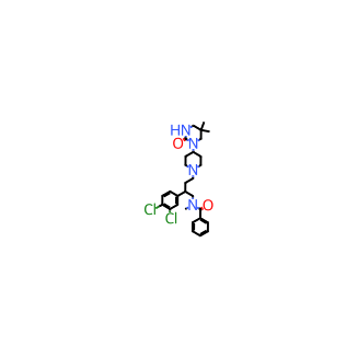 CN(CC(CCN1CCC(N2CC(C)(C)CNC2=O)CC1)c1ccc(Cl)c(Cl)c1)C(=O)c1ccccc1